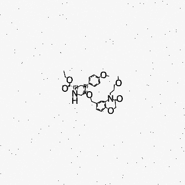 CCOC(=O)[C@@H]1C[C@H](c2ccc(OC)cc2)[C@@H](OCc2ccc3c(c2)N(CCCOC)C(=O)CO3)CN1